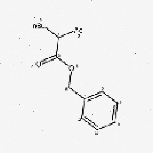 CCCCC(C(C)=O)C(=O)OCc1ccccc1